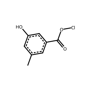 Cc1cc(O)cc(C(=O)OCl)c1